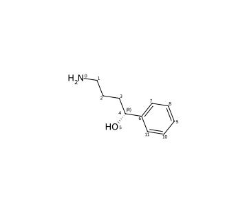 NCCC[C@@H](O)c1ccccc1